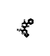 CC(C)C(CN1CCC1)C(=O)NC(c1ccccc1)C(F)F